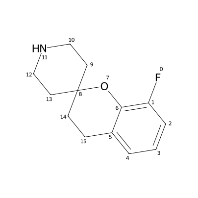 Fc1cccc2c1OC1(CCNCC1)CC2